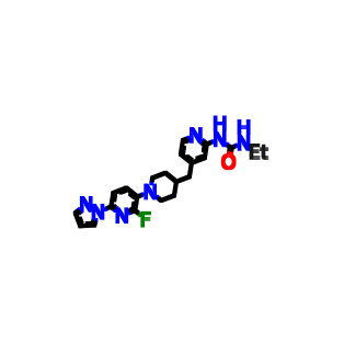 CCNC(=O)Nc1cc(CC2CCN(c3ccc(-n4cccn4)nc3F)CC2)ccn1